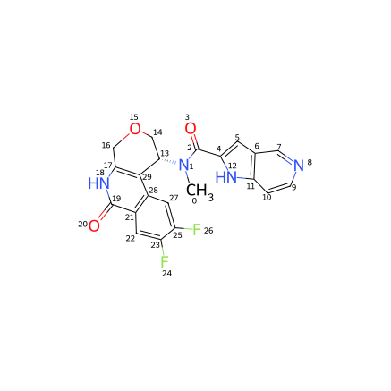 CN(C(=O)c1cc2cnccc2[nH]1)[C@H]1COCc2[nH]c(=O)c3cc(F)c(F)cc3c21